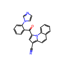 N#Cc1cc(C(=O)c2ccccc2-n2ccnc2)n2c1ccc1ccccc12